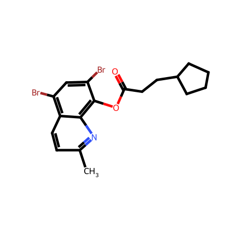 Cc1ccc2c(Br)cc(Br)c(OC(=O)CCC3CCCC3)c2n1